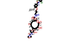 CC[C@H]1OC(=O)[C@H](C)[C@@H](O)[C@H](C)[C@@H](O[C@@H]2O[C@H](C)C[C@H](N(C)C(=O)N3CCOCC3)[C@H]2O)[C@](C)(OC)C[C@@H](C)C(=O)[C@H](C)[C@@H](C)[C@]1(C)OC(=O)NCCCOc1cc(C(=O)Nc2c(Cl)cncc2Cl)ccc1OC